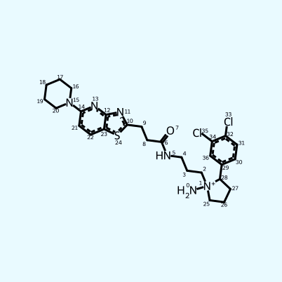 N[N+]1(CCCNC(=O)CCc2nc3nc(N4CCCCC4)ccc3s2)CCCC1c1ccc(Cl)c(Cl)c1